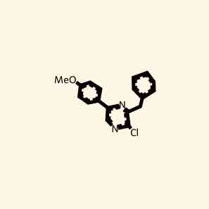 COc1ccc(-c2cnc(Cl)c(Cc3ccccc3)n2)cc1